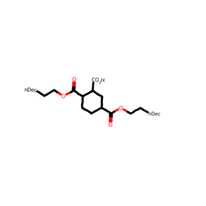 CCCCCCCCCCCCOC(=O)C1CCC(C(=O)OCCCCCCCCCCCC)C(C(=O)O)C1